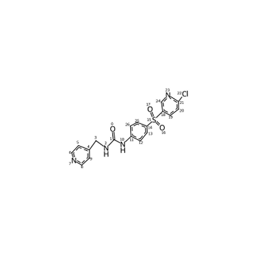 O=C(NCc1ccncc1)Nc1ccc(S(=O)(=O)c2ccc(Cl)nc2)cc1